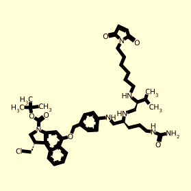 CC(C)[C@@H](CN[C@@H](CCCNC(N)=O)CNc1ccc(COc2cc3c(c4ccccc24)[C@H](CCl)CN3C(=O)OC(C)(C)C)cc1)NCCCCCCN1C(=O)C=CC1=O